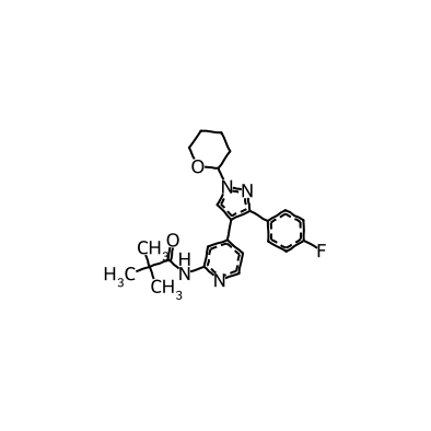 CC(C)(C)C(=O)Nc1cc(-c2cn(C3CCCCO3)nc2-c2ccc(F)cc2)ccn1